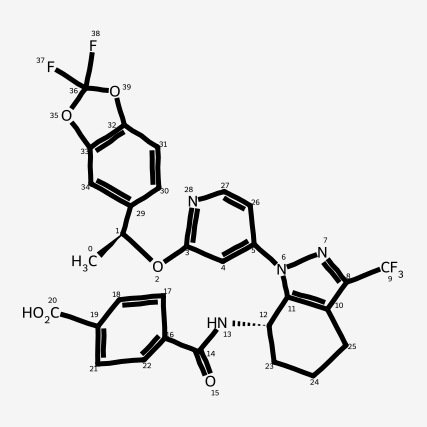 C[C@H](Oc1cc(-n2nc(C(F)(F)F)c3c2[C@@H](NC(=O)c2ccc(C(=O)O)cc2)CCC3)ccn1)c1ccc2c(c1)OC(F)(F)O2